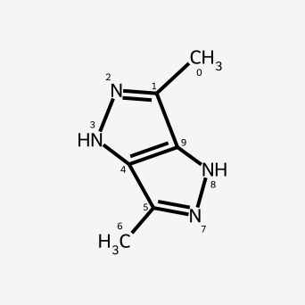 Cc1n[nH]c2c(C)n[nH]c12